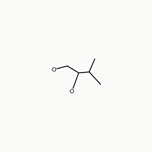 CC(C)C([O])C[O]